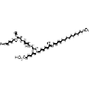 CCCCCCCCCCCCCCCCCCCCCCCCOC(=O)CCCCCN(CCCCCC(=O)O)CCCNCCCCCC(=C=O)OCCCCCCCCCCCCCC